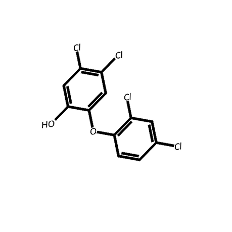 Oc1cc(Cl)c(Cl)cc1Oc1ccc(Cl)cc1Cl